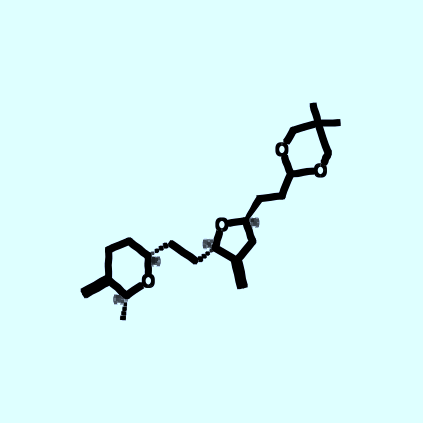 C=C1C[C@H](CCC2OCC(C)(C)CO2)O[C@H]1CC[C@H]1CCC(=C)[C@@H](C)O1